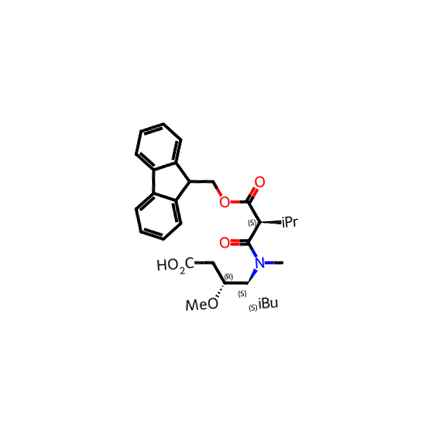 CC[C@H](C)[C@@H]([C@@H](CC(=O)O)OC)N(C)C(=O)[C@@H](C(=O)OCC1c2ccccc2-c2ccccc21)C(C)C